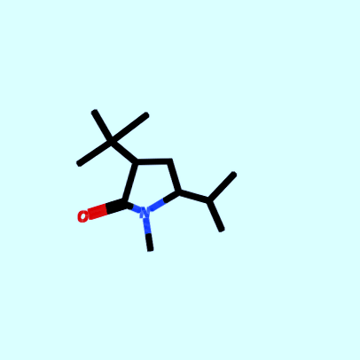 CC(C)C1CC(C(C)(C)C)C(=O)N1C